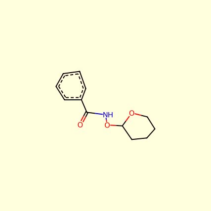 O=C(NOC1CCCCO1)c1ccccc1